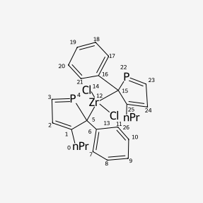 CCCC1=CC=P[C]1(c1ccccc1)[Zr]([Cl])([Cl])[C]1(c2ccccc2)P=CC=C1CCC